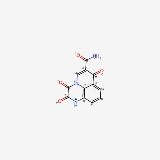 NC(=O)c1cn2c(=O)c(=O)[nH]c3cccc(c1=O)c32